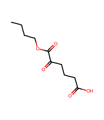 CCCCOC(=O)C(=O)CCCC(=O)O